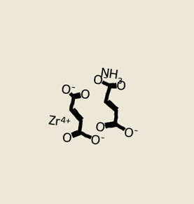 N.O=C([O-])C=CC(=O)[O-].O=C([O-])C=CC(=O)[O-].[Zr+4]